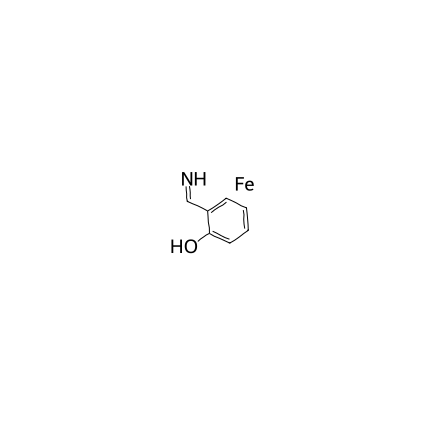 N=Cc1ccccc1O.[Fe]